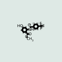 COC(=O)c1ccc(O)cc1NC(=O)c1ccc(C(F)(F)F)cc1